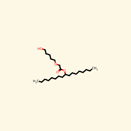 CCCCCCCCC(CCCCCCCC)OC(=O)COCCCCCO